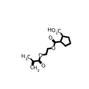 C=C(C)C(=O)OCCOC(=O)C1CCCC1C(=O)O